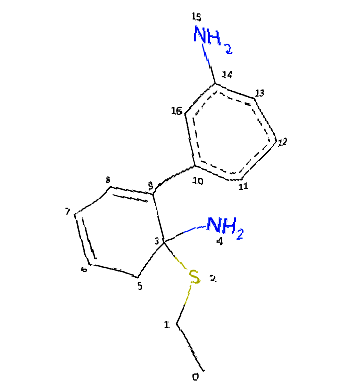 CCSC1(N)CC=CC=C1c1cccc(N)c1